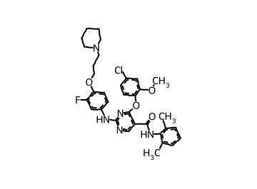 COc1cc(Cl)ccc1Oc1nc(Nc2ccc(OCCCN3CCCCC3)c(F)c2)ncc1C(=O)Nc1c(C)cccc1C